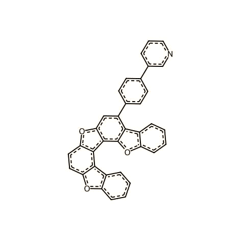 c1cncc(-c2ccc(-c3cc4oc5ccc6oc7ccccc7c6c5c4c4oc5ccccc5c34)cc2)c1